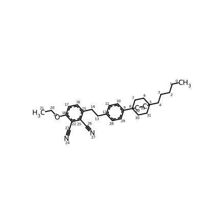 CCCCCC12CCC(c3ccc(CCc4ccc(OCC)c(C#N)c4C#N)cc3)(CC1)CC2